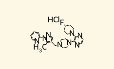 Cc1c(CN2CCN(c3nccnc3N3CCC(F)CC3)CC2)cnn1-c1ccccn1.Cl